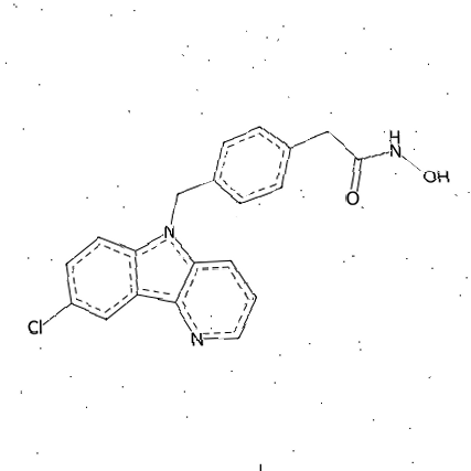 O=C(Cc1ccc(Cn2c3ccc(Cl)cc3c3ncccc32)cc1)NO